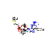 COc1nc(N)nc2c1ncn2[C@@H]1O[C@@H]2CO[P@@](=O)(OCCSSC(C)(C)C)O[C@H]2[C@@]1(C)F